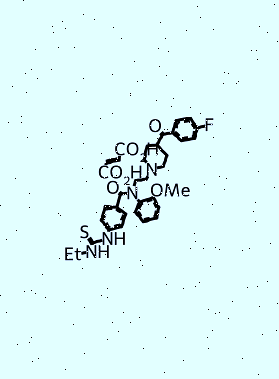 CCNC(=S)Nc1ccc(C(=O)N(CCN2CCC(C(=O)c3ccc(F)cc3)CC2)c2ccccc2OC)cc1.O=C(O)C=CC(=O)O